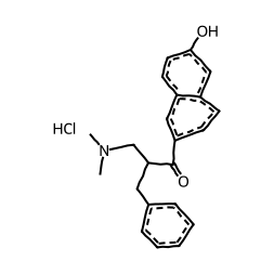 CN(C)CC(Cc1ccccc1)C(=O)c1ccc2cc(O)ccc2c1.Cl